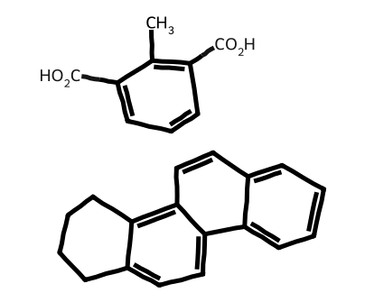 Cc1c(C(=O)O)cccc1C(=O)O.c1ccc2c(c1)ccc1c3c(ccc12)CCCC3